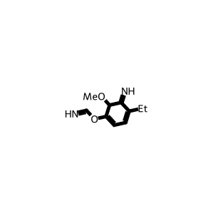 CCC1=CC=C(OC=N)C(OC)C1=N